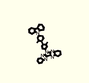 Cc1cc(-n2c3ccccc3c3ccccc32)ccc1-c1ccc(-n2c3nc4ccccc4nc3c3nc4ccccc4nc32)cc1C